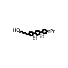 CCCc1ccc(-c2ccc(-c3ccc(CCCCCO)cc3CC)cc2CC)cc1